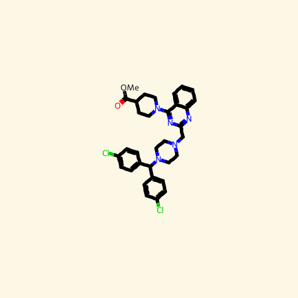 COC(=O)C1CCN(c2nc(CN3CCN(C(c4ccc(Cl)cc4)c4ccc(Cl)cc4)CC3)nc3ccccc23)CC1